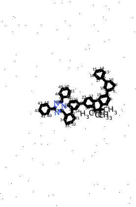 CC1(C)c2ccc(-c3cccc(-c4ccccc4)c3)cc2-c2ccc(-c3cccc(-c4ccccc4-c4nc(-c5ccccc5)nc(-c5ccccc5)n4)c3)cc2C1(C)C